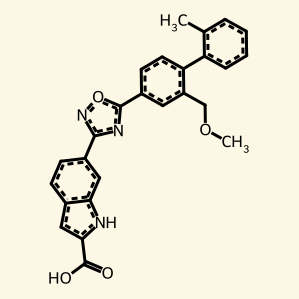 COCc1cc(-c2nc(-c3ccc4cc(C(=O)O)[nH]c4c3)no2)ccc1-c1ccccc1C